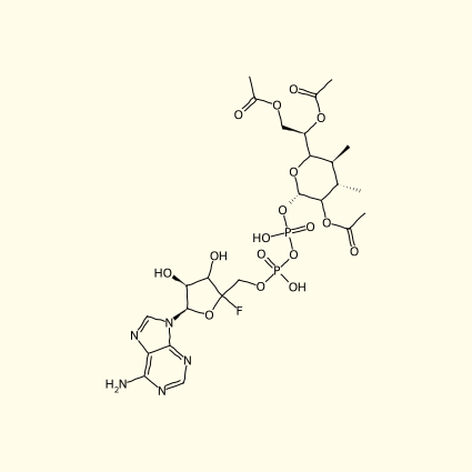 CC(=O)OC[C@@H](OC(C)=O)C1O[C@@H](OP(=O)(O)OP(=O)(O)OCC2(F)O[C@@H](n3cnc4c(N)ncnc43)[C@@H](O)C2O)C(OC(C)=O)[C@@H](C)[C@@H]1C